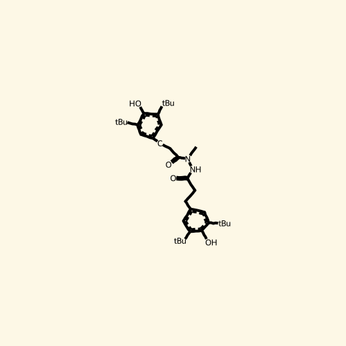 CN(NC(=O)CCc1cc(C(C)(C)C)c(O)c(C(C)(C)C)c1)C(=O)CCc1cc(C(C)(C)C)c(O)c(C(C)(C)C)c1